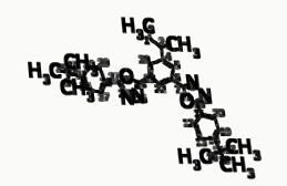 CCC(C)c1cc(-c2nnc(-c3ccc(C(C)(C)C)cc3)o2)cc(-c2nnc(-c3ccc(C(C)(C)C)cc3)o2)c1